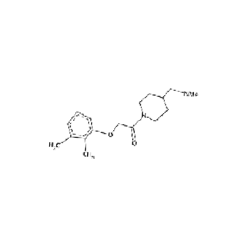 CNCC1CCN(C(=O)COc2cccc(C)c2C)CC1